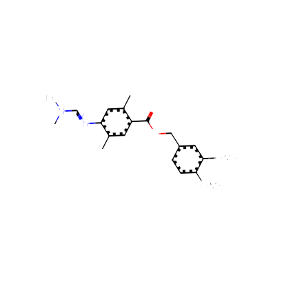 CCN(C)/C=N/c1cc(C)c(C(=O)OCc2ccc(OC)c(OC)c2)cc1C